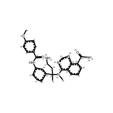 COc1ccc(C(=O)Nc2cccc(C(C)(CCN)N(C)c3ncnc4c(C(N)=O)cccc34)c2)cc1